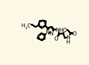 CCCc1cccc(-c2cc(NC(=O)C3CNC(=O)CO3)nn2-c2ccccc2)c1